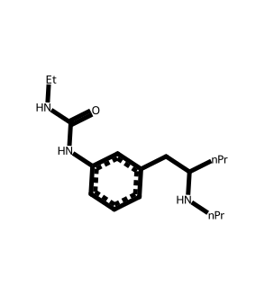 CCCNC(CCC)Cc1cccc(NC(=O)NCC)c1